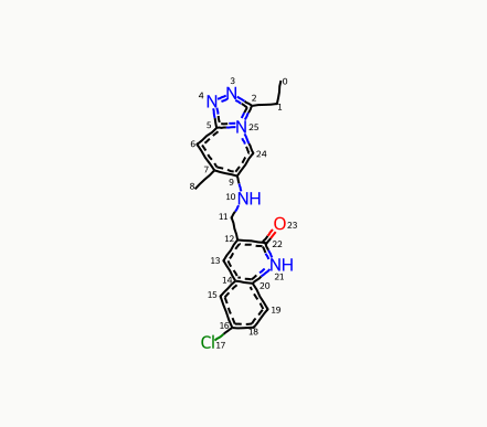 CCc1nnc2cc(C)c(NCc3cc4cc(Cl)ccc4[nH]c3=O)cn12